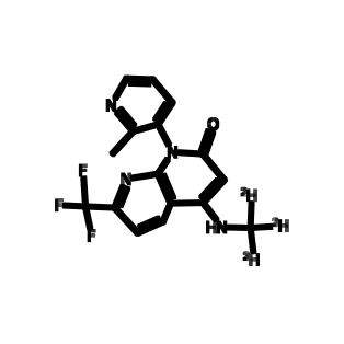 [2H]C([2H])([2H])Nc1cc(=O)n(-c2cccnc2C)c2nc(C(F)(F)F)ccc12